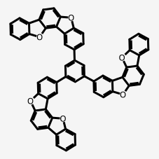 c1ccc2c(c1)oc1c2ccc2oc3ccc(-c4cc(-c5ccc6oc7ccc8c9ccccc9oc8c7c6c5)cc(-c5ccc6oc7ccc8c9ccccc9oc8c7c6c5)c4)cc3c21